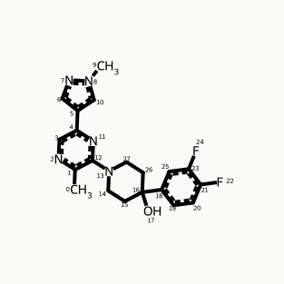 Cc1ncc(-c2cnn(C)c2)nc1N1CCC(O)(c2ccc(F)c(F)c2)CC1